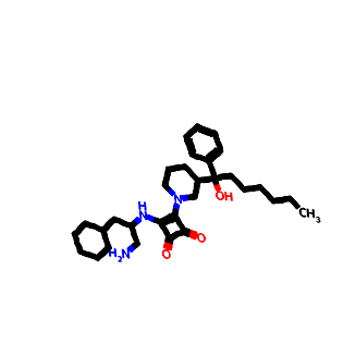 CCCCCCC(O)(c1ccccc1)C1CCCN(c2c(NC(CN)CC3CCCCC3)c(=O)c2=O)C1